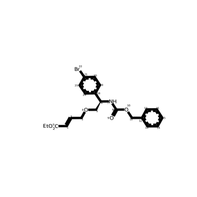 CCOC(=O)/C=C/COC[C@H](NC(=O)OCc1ccccc1)c1ccc(Br)cc1